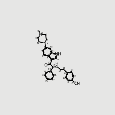 CN1CCN(c2ccc3c(C(=O)C(NCCc4ccc(C#N)cc4)c4ccccc4)c[nH]c3c2)CC1